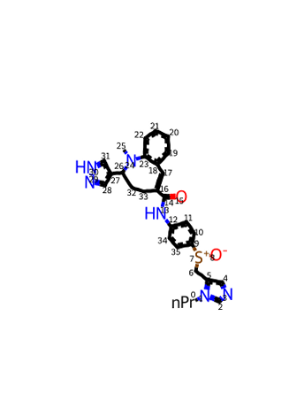 CCCn1cncc1C[S+]([O-])c1ccc(NC(=O)C2=Cc3ccccc3N(C)C(c3cn[nH]c3)CC2)cc1